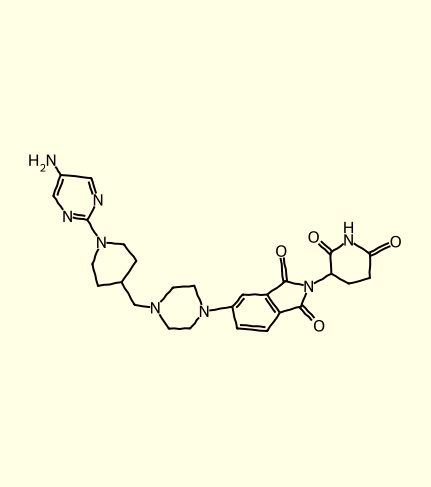 Nc1cnc(N2CCC(CN3CCN(c4ccc5c(c4)C(=O)N(C4CCC(=O)NC4=O)C5=O)CC3)CC2)nc1